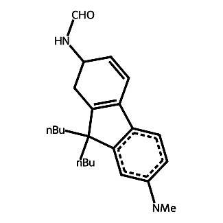 CCCCC1(CCCC)C2=C(C=CC(NC=O)C2)c2ccc(NC)cc21